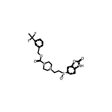 CC(F)(F)c1cccc(COC(=O)N2CCN(CC[S+]([O-])c3ccc4[nH]c(=O)oc4c3)CC2)c1